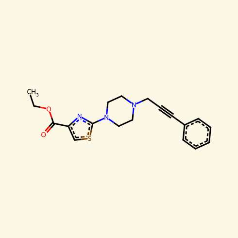 CCOC(=O)c1csc(N2CCN(CC#Cc3ccccc3)CC2)n1